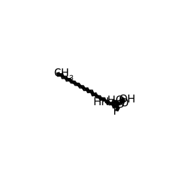 CCCCCCCCCCCCCCCCCCCCCCCNCCc1ccc(OP(=O)(O)O)c(CF)c1